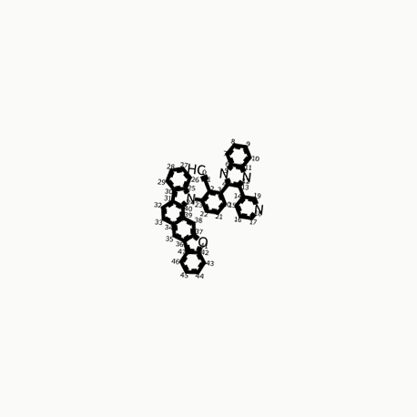 C#Cc1c(-c2nc3ccccc3nc2-c2cccnc2)cccc1-n1c2ccccc2c2ccc3cc4c(cc3c21)oc1ccccc14